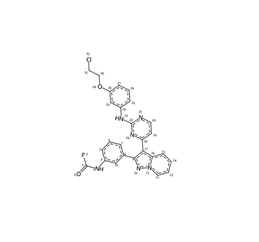 O=C(F)Nc1cccc(-c2nn3ccccc3c2-c2ccnc(Nc3cccc(OCCCl)c3)n2)c1